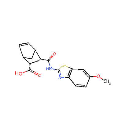 COc1ccc2nc(NC(=O)C3C4C=CC(C4)C3C(=O)O)sc2c1